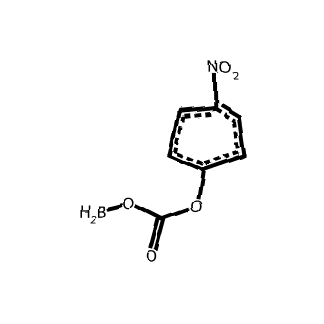 BOC(=O)Oc1ccc([N+](=O)[O-])cc1